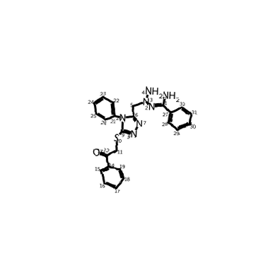 N/C(=N\N(N)Cc1nnc(SCC(=O)c2ccccc2)n1-c1ccccc1)c1ccccc1